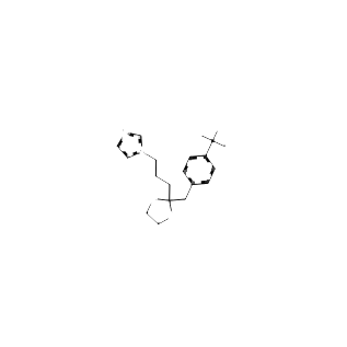 FC(F)(F)c1ccc(CC2(CCCn3ccnc3)SCCS2)cc1